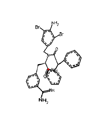 N=C(N)c1cccc(C[C@H](C(N)=O)N(Cc2cc(Br)c(N)c(Br)c2)C(=O)C(c2ccccc2)c2ccccc2)c1